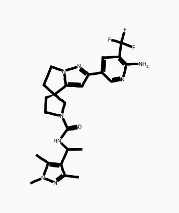 Cc1nn(C)c(C)c1C(C)NC(=O)N1CC[C@]2(CCn3nc(-c4cnc(N)c(C(F)(F)F)c4)cc32)C1